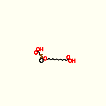 O=C(O)CCCCCCCCCCCOc1ccccc1SCCC(=O)O